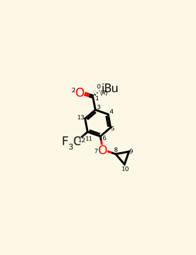 CC[C@@H](C)C(=O)c1ccc(OC2CC2)c(C(F)(F)F)c1